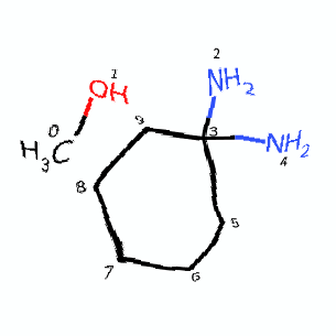 CO.NC1(N)CCCCC1